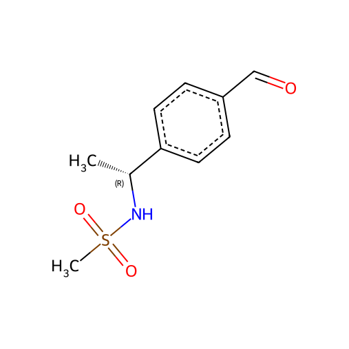 C[C@@H](NS(C)(=O)=O)c1ccc(C=O)cc1